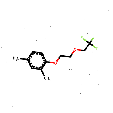 Cc1ccc(OCCOCC(F)(F)F)c(C)c1